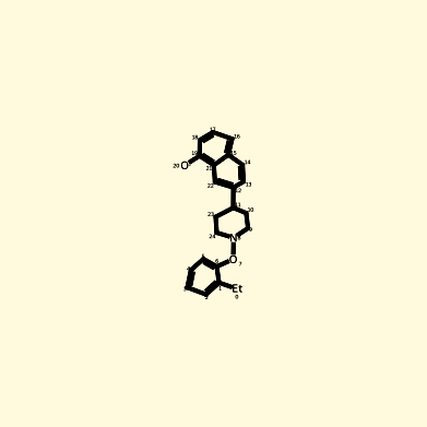 CCc1ccccc1ON1CCC(c2ccc3cccc([O])c3c2)CC1